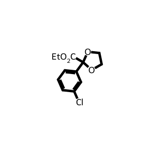 CCOC(=O)C1(c2cccc(Cl)c2)OCCO1